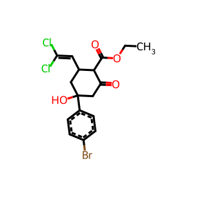 CCOC(=O)C1C(=O)CC(O)(c2ccc(Br)cc2)CC1C=C(Cl)Cl